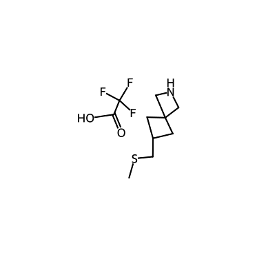 CSCC1CC2(CNC2)C1.O=C(O)C(F)(F)F